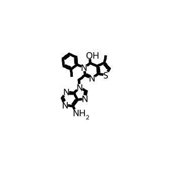 Cc1ccccc1N1C(Cn2cnc3c(N)ncnc32)=Nc2scc(C)c2C1O